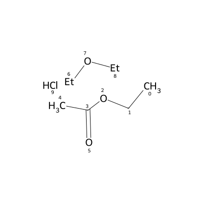 CCOC(C)=O.CCOCC.Cl